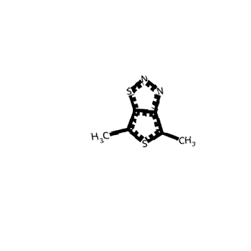 Cc1sc(C)c2snnc12